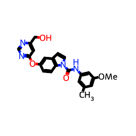 COc1cc(C)cc(NC(=O)n2ccc3cc(Oc4cc(CO)ncn4)ccc32)c1